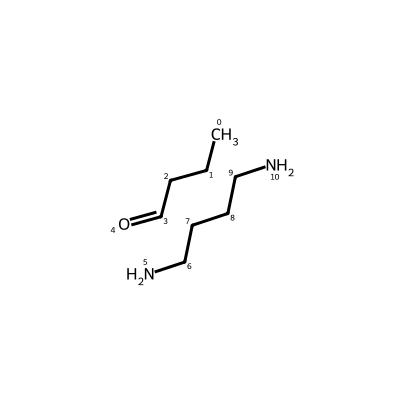 CCCC=O.NCCCCN